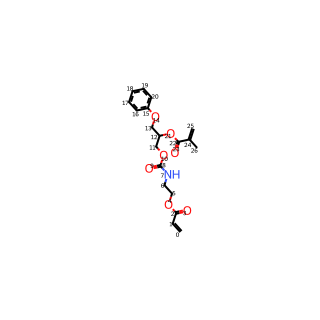 C=CC(=O)OCCNC(=O)OCC(COc1ccccc1)OC(=O)C(=C)C